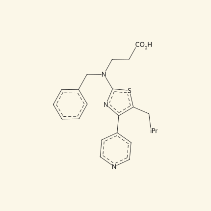 CC(C)Cc1sc(N(CCC(=O)O)Cc2ccccc2)nc1-c1ccncc1